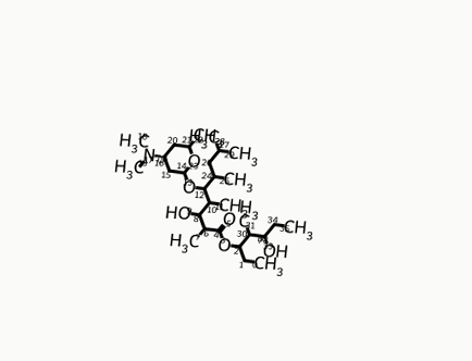 CCC(OC(=O)C(C)C(O)C(C)C(OC1C[C@@H](N(C)C)CC(C)O1)C(C)CC(C)C)C(C)[C@H](O)CC